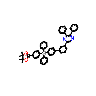 CC1(C)OB(c2ccc([Si](c3ccccc3)(c3ccccc3)c3ccc(-c4cccc(-c5cnc(-c6ccccc6)c(-c6ccccc6)n5)c4)cc3)cc2)OC1(C)C